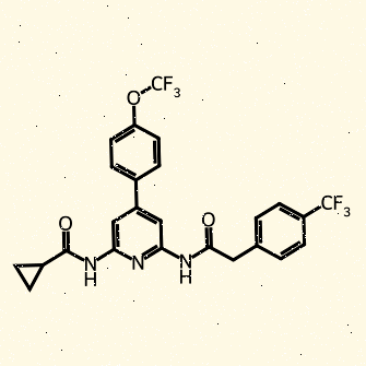 O=C(Cc1ccc(C(F)(F)F)cc1)Nc1cc(-c2ccc(OC(F)(F)F)cc2)cc(NC(=O)C2CC2)n1